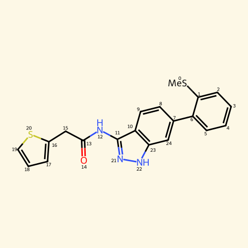 CSc1ccccc1-c1ccc2c(NC(=O)Cc3cccs3)n[nH]c2c1